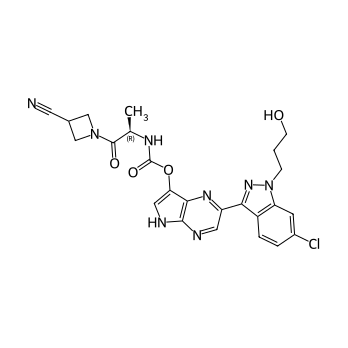 C[C@@H](NC(=O)Oc1c[nH]c2ncc(-c3nn(CCCO)c4cc(Cl)ccc34)nc12)C(=O)N1CC(C#N)C1